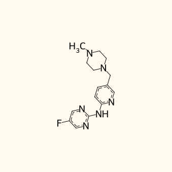 CN1CCN(Cc2ccc(Nc3ncc(F)cn3)nc2)CC1